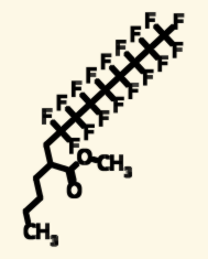 CCCCC(CC(F)(F)C(F)(F)C(F)(F)C(F)(F)C(F)(F)C(F)(F)C(F)(F)C(F)(F)F)C(=O)OC